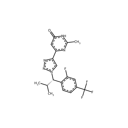 Cc1nc(-c2cn([C@H](c3ccc(C(F)(F)F)cc3F)C(C)C)nn2)cc(=O)[nH]1